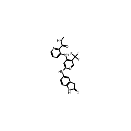 CNC(=O)c1ncccc1Nc1cc(Nc2ccc3c(c2)CC(=O)N3)ncc1C(F)(F)F